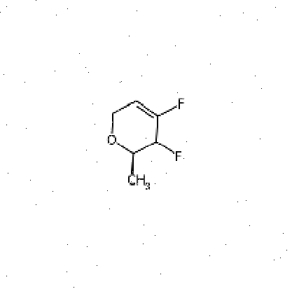 CC1OCC=C(F)C1F